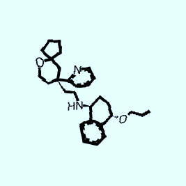 CCCO[C@H]1CC[C@H](NCC[C@@]2(c3ccccn3)CCOC3(CCCC3)C2)c2ccccc21